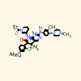 CCC(=O)N1CCCC(n2c(=O)c(-c3ccc(OC)cc3Cl)c(C)c3cnc(Nc4ccc(N5CCN(C)CC5)c(C)c4)nc32)C1